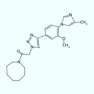 COc1cc(-c2cn(CC(=O)N3CCCCCCC3)nn2)ccc1-n1cnc(C)c1